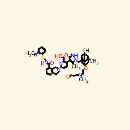 C=Nc1ccccc1SCNC(=O)c1cccc2c1CN(c1ccc(/C(C=N)=C(\C)NCC34CC5(C)CC(C)(C3)CC(OCCN(C)CCC=O)(C5)C4)c(C(=O)O)n1)CC2